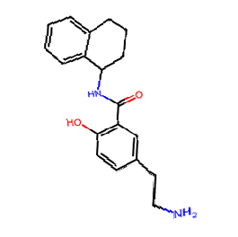 NCCc1ccc(O)c(C(=O)NC2CCCc3ccccc32)c1